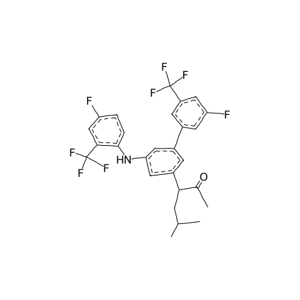 CC(=O)C(CC(C)C)c1cc(Nc2ccc(F)cc2C(F)(F)F)cc(-c2cc(F)cc(C(F)(F)F)c2)c1